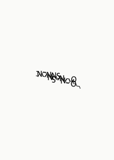 CCCCOC(=O)c1ccc(N=Nc2cc3sc(N=Nc4ccc(N(CC)CC)cc4)nc3s2)cc1